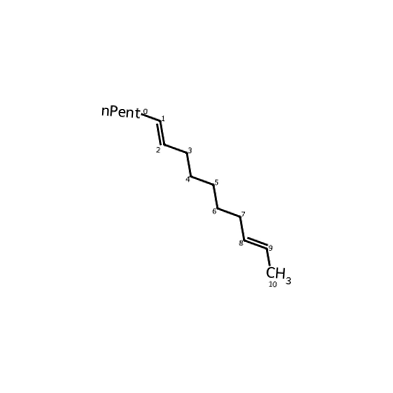 [CH2]CCCCC=CCCCCCC=CC